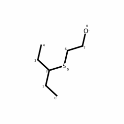 CCC(CC)SCC[O]